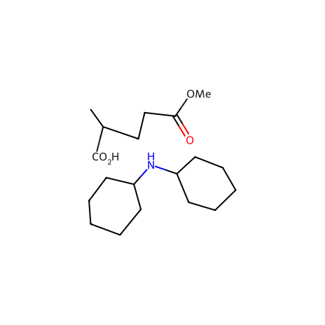 C1CCC(NC2CCCCC2)CC1.COC(=O)CCC(C)C(=O)O